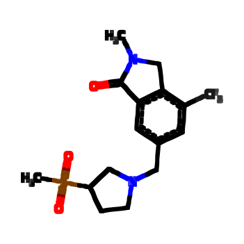 CN1Cc2c(cc(CN3CCC(S(C)(=O)=O)C3)cc2C(F)(F)F)C1=O